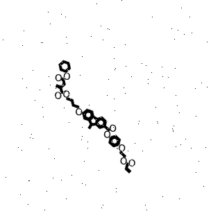 C=CC(=O)OCCOc1ccc(OC(=O)c2ccc3c(c2)C(C)c2cc(OCCCCOC(=O)C(=C)CC(=O)OC4CCCCC4)ccc2-3)cc1